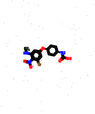 CNc1cc(O[C@H]2CC[C@@H](NC(=O)O)CC2)cc(Br)c1[N+](=O)[O-]